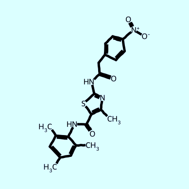 Cc1cc(C)c(NC(=O)c2sc(NC(=O)Cc3ccc([N+](=O)[O-])cc3)nc2C)c(C)c1